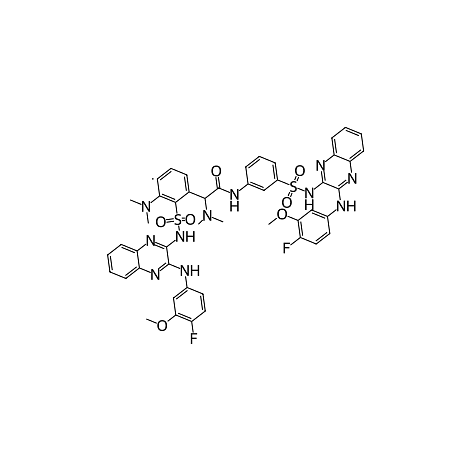 COc1cc(Nc2nc3ccccc3nc2NS(=O)(=O)c2cccc(NC(=O)C(c3cc[c]c(N(C)C)c3S(=O)(=O)Nc3nc4ccccc4nc3Nc3ccc(F)c(OC)c3)N(C)C)c2)ccc1F